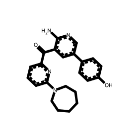 Nc1ncc(-c2ccc(O)cc2)cc1C(=O)c1cccc(N2CCCCCC2)n1